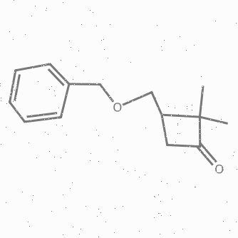 CC1(C)C(=O)CC1COCc1ccccc1